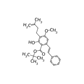 C=C(C)CCc1c(OC)cc(C=Cc2ccccc2)c(C(=O)OC(C)(C)C)c1O